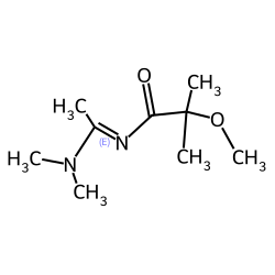 COC(C)(C)C(=O)/N=C(\C)N(C)C